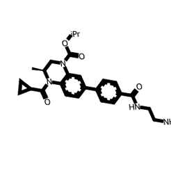 CC(C)OC(=O)N1C[C@H](C)N(C(=O)C2CC2)c2ccc(-c3ccc(C(=O)NCCN)cc3)cc21